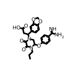 CCCN1C(=O)C(=O)N(C(CC(=O)O)c2ccc3c(c2)OCO3)CC1Oc1ccc(C(=N)N)cc1